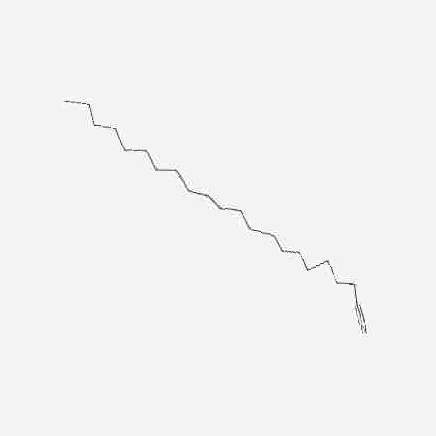 CCCCCCCCCCCCCCCCCCC[CH]C#N